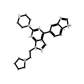 c1nc2cc(-c3nc(N4CCOCC4)nc4c3cnn4CCN3CCCC3)ccc2[nH]1